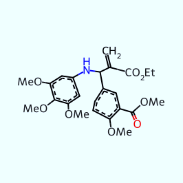 C=C(C(=O)OCC)C(Nc1cc(OC)c(OC)c(OC)c1)c1ccc(OC)c(C(=O)OC)c1